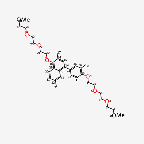 COCCOCCOCCOc1ccc(-c2cc(C)c(OCCOCCOCCOC)c3ccc(C)cc23)cc1C